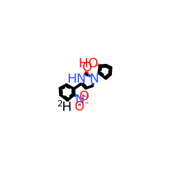 [2H]c1cccc(C2=CCN(c3ccccc3O)C(=O)N2)c1[N+](=O)[O-]